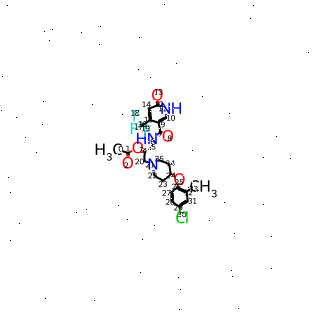 CC(=O)O[C@H](CNC(=O)c1c[nH]c(=O)cc1C(F)(F)F)CN1CCC(Oc2ccc(Cl)cc2C)CC1